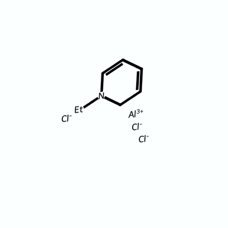 CCN1C=CC=CC1.[Al+3].[Cl-].[Cl-].[Cl-]